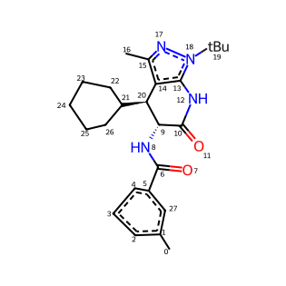 Cc1cccc(C(=O)N[C@H]2C(=O)Nc3c(c(C)nn3C(C)(C)C)[C@@H]2C2CCCCC2)c1